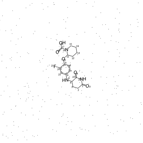 O=C1CCC(Nc2ccc(OC3CCCCN3C(=O)O)c(F)c2)C(=O)N1